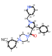 N#Cc1cccc(N2CCN(C(=O)c3cn(Cc4cccnc4)cc3-c3ccccc3)CC2)c1